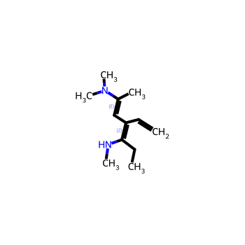 C=CC(/C=C(\C)N(C)C)=C(\CC)NC